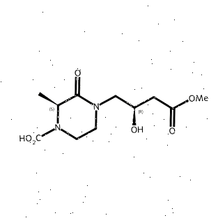 COC(=O)C[C@@H](O)CN1CCN(C(=O)O)[C@@H](C)C1=O